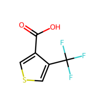 O=C(O)c1cscc1C(F)(F)F